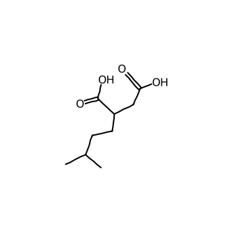 CC(C)CCC(CC(=O)O)C(=O)O